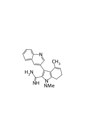 CNn1c2c(c(-c3cnc4ccccc4c3)c1C(=N)N)C(C)=CCC2